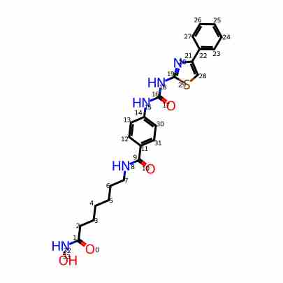 O=C(CCCCCCNC(=O)c1ccc(NC(=O)Nc2nc(-c3ccccc3)cs2)cc1)NO